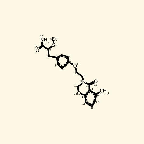 CCSC(Cc1ccc(OCCN2COc3cccc(C)c3C2=O)cc1)C(N)=O